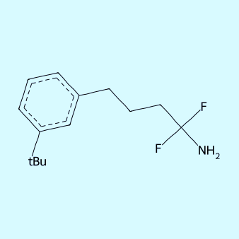 CC(C)(C)c1cccc(CCCC(N)(F)F)c1